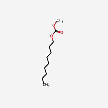 CCCCCCCCCOC(=O)OC